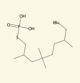 CC(CCC(C)(C)CC(C)CSP(=O)(O)O)CC(C)(C)C